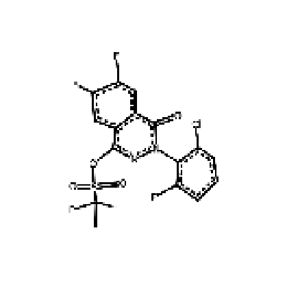 O=c1c2cc(F)c(F)cc2c(OS(=O)(=O)C(F)(F)F)nn1-c1c(F)cccc1Cl